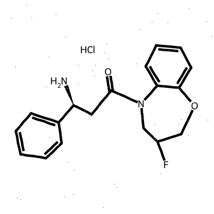 Cl.N[C@@H](CC(=O)N1CC(F)COc2ccccc21)c1ccccc1